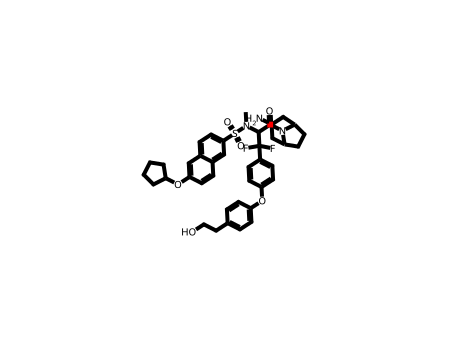 CN(C(C(=O)N1C2CCC1CC(N)C2)C(F)(F)c1ccc(Oc2ccc(CCO)cc2)cc1)S(=O)(=O)c1ccc2cc(OC3CCCC3)ccc2c1